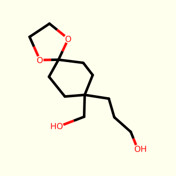 OCCCC1(CO)CCC2(CC1)OCCO2